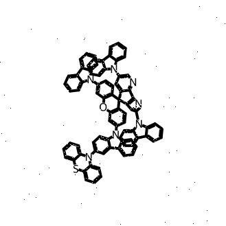 c1ccc2c(c1)Sc1ccccc1N2c1ccc2c(c1)c1ccccc1n2-c1ccc2c(c1)Oc1cc(-n3c4ccccc4c4ccccc43)ccc1C21c2cc(-n3c4ccccc4c4ccccc43)cnc2-c2ncc(-n3c4ccccc4c4ccccc43)cc21